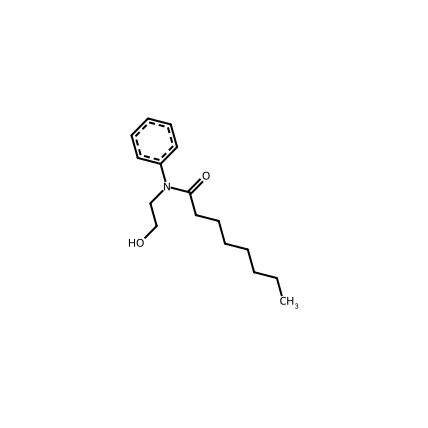 CCCCCCCC(=O)N(CCO)c1ccccc1